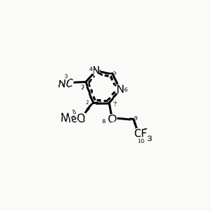 COc1c(C#N)ncnc1OCC(F)(F)F